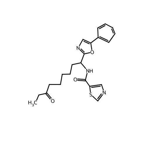 CCC(=O)CCCCCC(NC(=O)c1cncs1)c1ncc(-c2ccccc2)o1